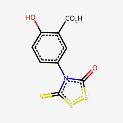 O=C(O)c1cc(-n2c(=O)ssc2=S)ccc1O